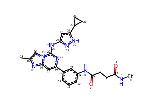 CCNC(=O)CCC(=O)Nc1cccc(-c2cc3nc(C)cn3c(Nc3cc(C4CC4)[nH]n3)n2)c1